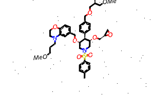 COCCCN1CCOc2ccc(CO[C@H]3CN(S(=O)(=O)c4ccc(C)cc4)C[C@@H](OC[C@H]4CO4)[C@@H]3c3ccc(COC[C@@H](C)COC)cc3)cc21